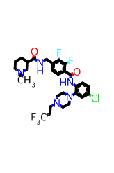 CN1CCCC(C(=O)NCc2ccc(C(=O)Nc3ccc(Cl)cc3N3CCN(CCC(F)(F)F)CC3)c(F)c2F)C1